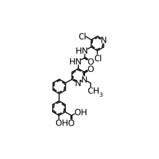 CCn1nc(-c2cccc(-c3ccc(O)c(C(=O)O)c3)c2)cc(NC(=O)Nc2c(Cl)cncc2Cl)c1=O